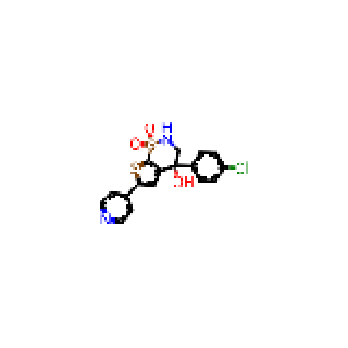 O=S1(=O)NC[C@](O)(c2ccc(Cl)cc2)c2cc(-c3ccncc3)sc21